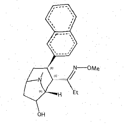 CCC(=NOC)[C@H]1[C@H](c2ccc3ccccc3c2)CC2CC(O)[C@@H]1N2C